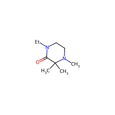 CCN1CCN(C)C(C)(C)C1=O